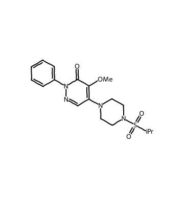 COc1c(N2CCN(S(=O)(=O)C(C)C)CC2)cnn(-c2ccccc2)c1=O